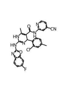 CC1=C(C(=O)Nc2cc(C#N)ccn2)C(c2ccc(C)cc2Cl)N=C(Nc2nc3ccc(F)cc3o2)N1